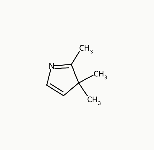 CC1=NC=CC1(C)C